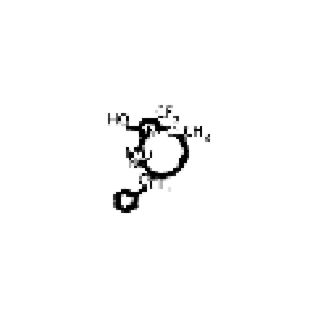 C[C@@H]1CC=CCC[C@](OCc2ccccc2)(C(F)(F)F)c2nnc(o2)-c2nc(c(C(F)(F)F)cc2CO)O1